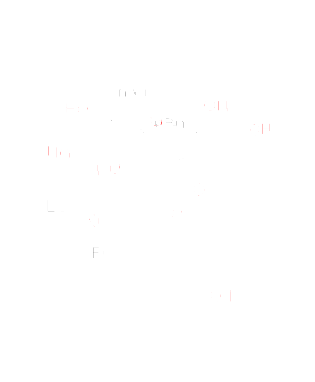 CCCCC(O)(CO)C(=O)C(O)(COCCO)C(=O)C(O)(CO)CCCC.CCOCC